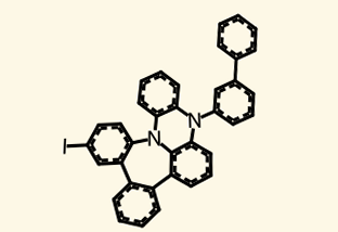 Ic1ccc2c(c1)-c1ccccc1-c1cccc3c1N2c1ccccc1N3c1cccc(-c2ccccc2)c1